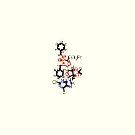 CCOC(=O)C(OC[C@H]1O[C@@H](n2cnc3c(Cl)nc(Cl)nc32)[C@@H]2OC(C)(C)O[C@@H]21)P(=O)(OCc1ccccc1)OCc1ccccc1